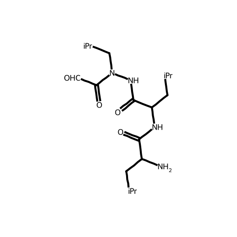 CC(C)CC(N)C(=O)NC(CC(C)C)C(=O)NN(CC(C)C)C(=O)C=O